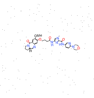 COc1cc2c(cc1OCCCC(=O)Nc1cn(C)c(C(=O)Nc3ccc(N4CCOCC4)nc3)n1)N=C[C@@H]1CCCN1C2=O